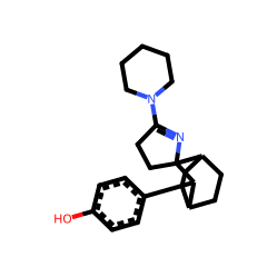 Oc1ccc(C2C3CCC(CC3)C23CCC(N2CCCCC2)=N3)cc1